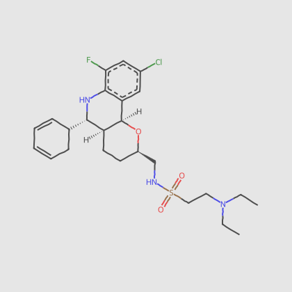 CCN(CC)CCS(=O)(=O)NC[C@H]1CC[C@@H]2[C@H](O1)c1cc(Cl)cc(F)c1N[C@H]2C1C=CC=CC1